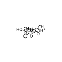 CSc1cc(C)[nH]c(=O)c1CNC(=O)c1c(C)n(C(C)CO)c2ccccc12